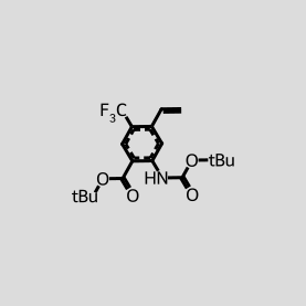 C=Cc1cc(NC(=O)OC(C)(C)C)c(C(=O)OC(C)(C)C)cc1C(F)(F)F